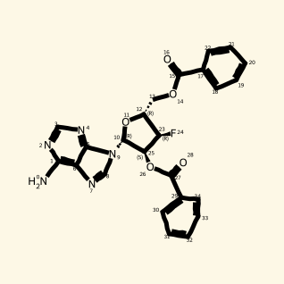 Nc1ncnc2c1ncn2[C@@H]1O[C@H](COC(=O)c2ccccc2)[C@@H](F)[C@H]1OC(=O)c1ccccc1